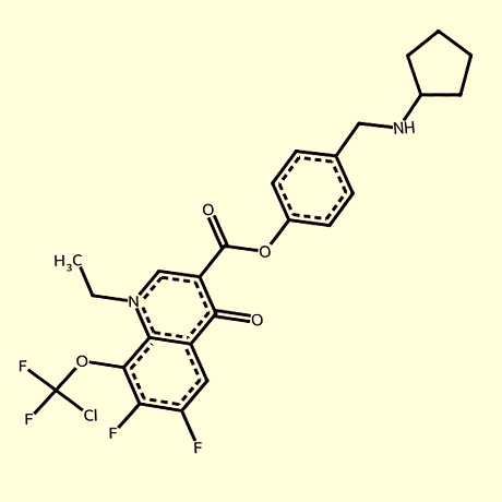 CCn1cc(C(=O)Oc2ccc(CNC3CCCC3)cc2)c(=O)c2cc(F)c(F)c(OC(F)(F)Cl)c21